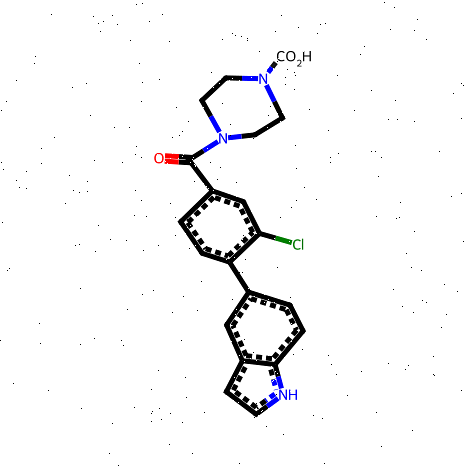 O=C(O)N1CCN(C(=O)c2ccc(-c3ccc4[nH]ccc4c3)c(Cl)c2)CC1